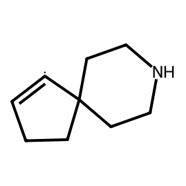 [C]1=CCCC12CCNCC2